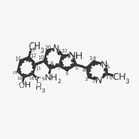 Cc1ncc(-c2cc3c(N)c(-c4c(C)ccc(O)c4C)cnc3[nH]2)cn1